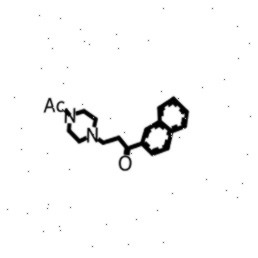 CC(=O)N1CCN(CCC(=O)c2ccc3ccccc3c2)CC1